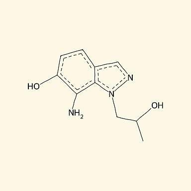 CC(O)Cn1ncc2ccc(O)c(N)c21